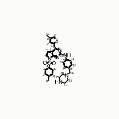 Cc1ccc(S(=O)(=O)n2ccc3c(-c4cc(C)cs4)nc(Nc4ccc(CN5CCNCC5)cc4)nc32)cc1